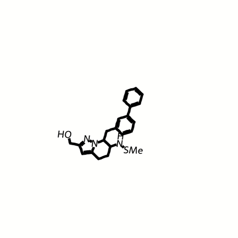 CSNC1CCc2cc(CO)nn2C1Cc1cccc(-c2ccccc2)c1